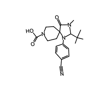 CN1C(=O)C2(CCN(C(=O)O)CC2)N(c2ccc(C#N)cc2)C1C(C)(C)C